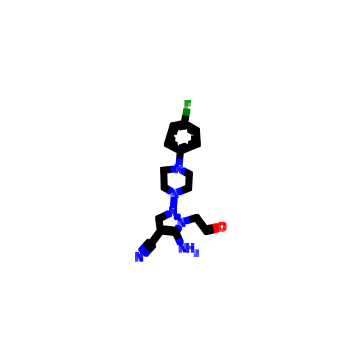 N#CC1=C(N)N(CC=O)N(N2CCN(c3ccc(F)cc3)CC2)C1